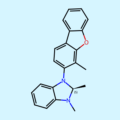 Cc1c(N2c3ccccc3N(C)[C@@H]2C)ccc2c1oc1ccccc12